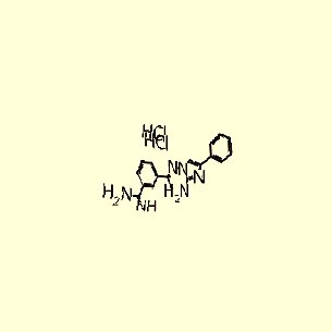 C/C(=N\n1cc(-c2ccccc2)nc1N)c1cccc(C(=N)N)c1.Cl.Cl